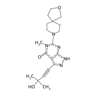 Cn1c(N2CCC3(CCOC3)CC2)nc2[nH]nc(C#CC(C)(C)O)c2c1=O